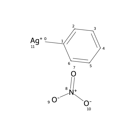 Cc1ccccc1.O=[N+]([O-])[O-].[Ag+]